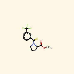 COC(=O)C1CCCN1C(=S)c1cccc(C(F)(F)F)c1